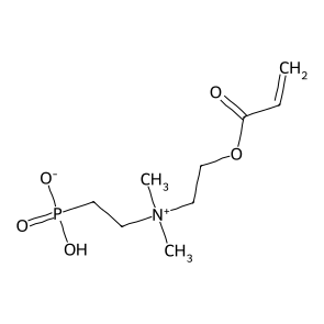 C=CC(=O)OCC[N+](C)(C)CCP(=O)([O-])O